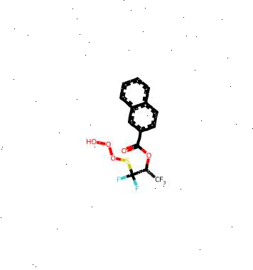 O=C(OC(C(F)(F)F)C(F)(F)SOOO)c1ccc2ccccc2c1